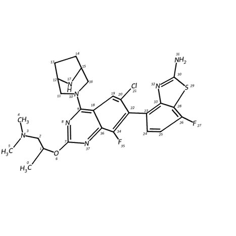 CC(CN(C)C)Oc1nc(N2CC3CCC(C2)N3)c2cc(Cl)c(-c3ccc(F)c4sc(N)nc34)c(F)c2n1